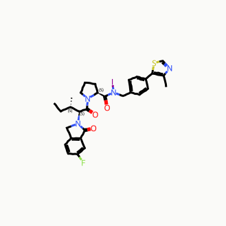 CC[C@H](C)[C@@H](C(=O)N1CCC[C@H]1C(=O)N(I)Cc1ccc(-c2scnc2C)cc1)N1Cc2ccc(F)cc2C1=O